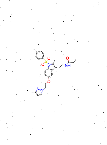 CCC(=O)NCCc1c(C)n(S(=O)(=O)c2ccc(C)cc2)c2ccc(OCCn3ccc(C)n3)cc12